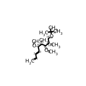 C=C/C=C/[C@H](OC)[C@H](C)[C@@H](OC)[C@@H](C)COC(C)(C)C